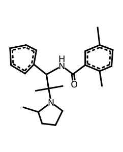 Cc1ccc(C)c(C(=O)NC(c2ccccc2)C(C)(C)N2CCCC2C)c1